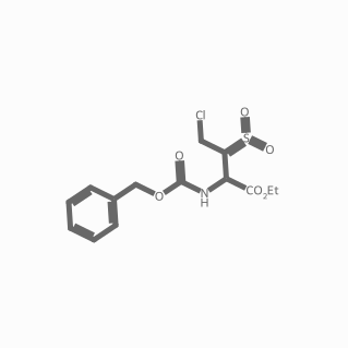 CCOC(=O)C(NC(=O)OCc1ccccc1)C(CCl)=S(=O)=O